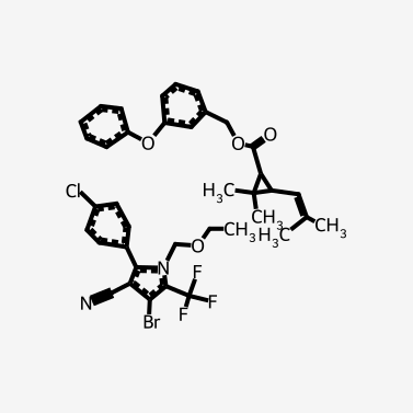 CC(C)=CC1C(C(=O)OCc2cccc(Oc3ccccc3)c2)C1(C)C.CCOCn1c(-c2ccc(Cl)cc2)c(C#N)c(Br)c1C(F)(F)F